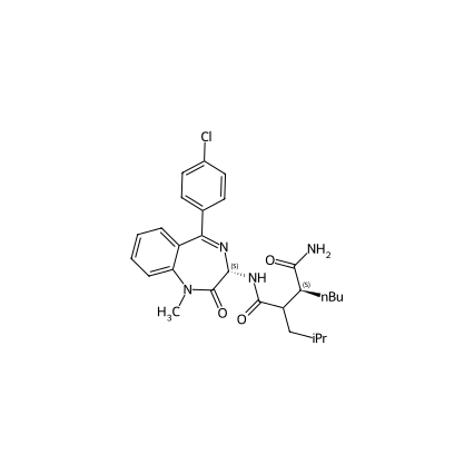 CCCC[C@H](C(N)=O)C(CC(C)C)C(=O)N[C@H]1N=C(c2ccc(Cl)cc2)c2ccccc2N(C)C1=O